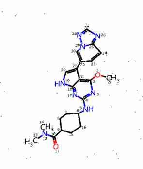 COc1nc(NC2CCC(C(=O)N(C)C)CC2)nc2[nH]cc(-c3ccc4ncnn4c3)c12